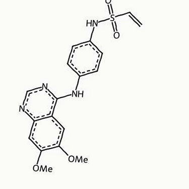 C=CS(=O)(=O)Nc1ccc(Nc2ncnc3cc(OC)c(OC)cc23)cc1